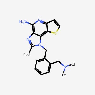 CCCCc1nc2c(N)nc3ccsc3c2n1Cc1ccccc1CN(CC)CC